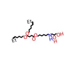 CC/C=C\CCCCOC(CCC(=O)OCCCCCCNCC(O)CO)OCCCC/C=C\CC